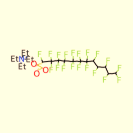 CC[N+](CC)(CC)CC.O=S(=O)([O-])C(F)C(F)(F)C(F)(F)C(F)(F)C(F)(F)C(F)(F)C(F)(F)C(F)C(F)C(F)C(F)C(F)F